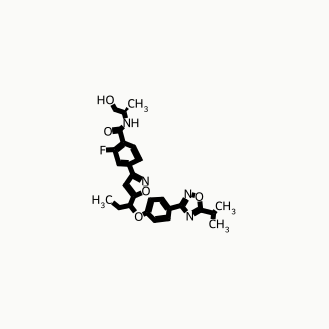 CCC(Oc1ccc(-c2noc(C(C)C)n2)cc1)c1cc(-c2ccc(C(=O)N[C@H](C)CO)c(F)c2)no1